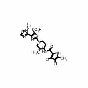 Cc1[nH]c(C(=O)N[C@@H]2CCN(c3nc(-c4ncnn4C)c(C(=O)O)s3)C[C@@H]2C)c(Cl)c1Cl